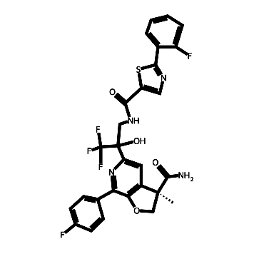 C[C@]1(C(N)=O)COc2c1cc(C(O)(CNC(=O)c1cnc(-c3ccccc3F)s1)C(F)(F)F)nc2-c1ccc(F)cc1